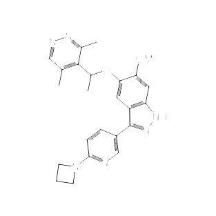 COc1cc2[nH]nc(-c3ccc(N4CCC4)nc3)c2cc1OC(C)c1c(C)cnnc1C